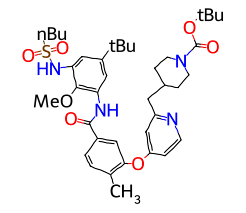 CCCCS(=O)(=O)Nc1cc(C(C)(C)C)cc(NC(=O)c2ccc(C)c(Oc3ccnc(CC4CCN(C(=O)OC(C)(C)C)CC4)c3)c2)c1OC